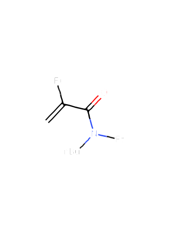 C=C(CC)C(=O)N(CC)CCCC